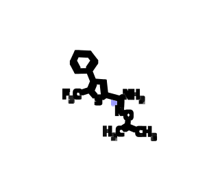 C=C(C)O/N=C(\N)c1cc(-c2ccccc2)c(C(F)(F)F)s1